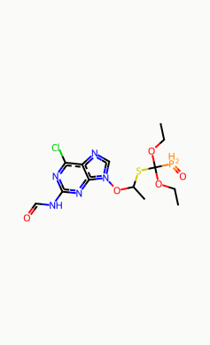 CCOC(OCC)([PH2]=O)SC(C)On1cnc2c(Cl)nc(NC=O)nc21